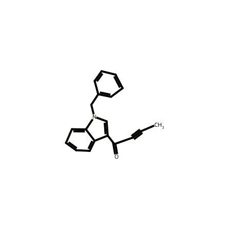 CC#CC(=O)c1cn(Cc2ccccc2)c2ccccc12